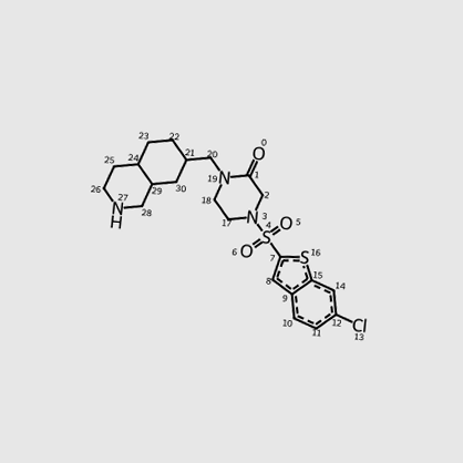 O=C1CN(S(=O)(=O)c2cc3ccc(Cl)cc3s2)CCN1CC1CCC2CCNCC2C1